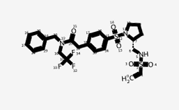 C=CS(=O)(=O)NC[C@H]1CCCN1S(=O)(=O)c1ccc(CC(=O)N(Cc2ccccc2)CC(F)(F)F)cc1